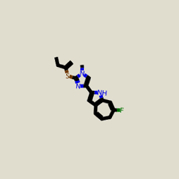 C=C(CC)Sc1nc(-c2cc3c([nH]2)C=C(F)CC=C3)cn1C